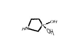 O[N+]1(O)CCNC1